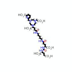 O=C(O)CC[C@H](NC(=O)N[C@@H](CCC(=O)NCCCCCNC(=O)CCC(C(=O)O)N1CCN(CC(=O)O)CCN(Cc2cccc(C(=O)O)n2)CC1)C(=O)O)C(=O)O